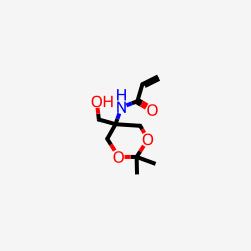 C=CC(=O)NC1(CO)COC(C)(C)OC1